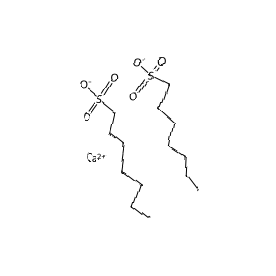 CCCCCCCS(=O)(=O)[O-].CCCCCCCS(=O)(=O)[O-].[Ca+2]